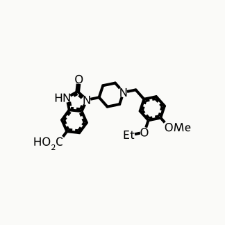 CCOc1cc(CN2CCC(n3c(=O)[nH]c4cc(C(=O)O)ccc43)CC2)ccc1OC